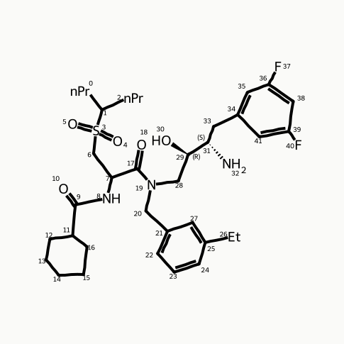 CCCC(CCC)S(=O)(=O)CC(NC(=O)C1CCCCC1)C(=O)N(Cc1cccc(CC)c1)C[C@@H](O)[C@@H](N)Cc1cc(F)cc(F)c1